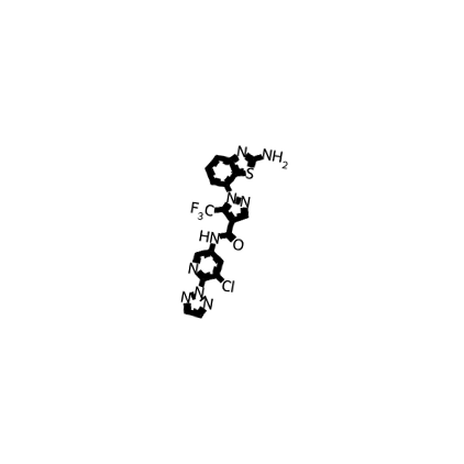 Nc1nc2cccc(-n3ncc(C(=O)Nc4cnc(-n5nccn5)c(Cl)c4)c3C(F)(F)F)c2s1